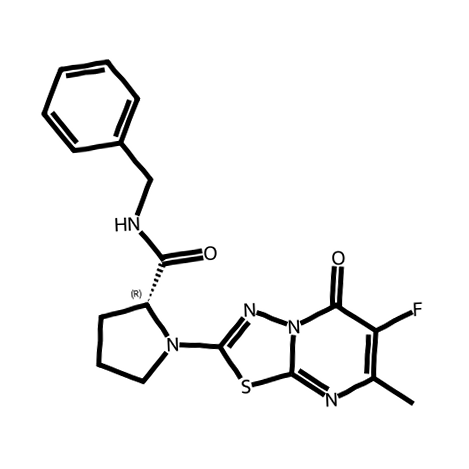 Cc1nc2sc(N3CCC[C@@H]3C(=O)NCc3ccccc3)nn2c(=O)c1F